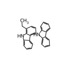 CCc1cccc2c1[nH]c1ccccc12.c1ccc2c(c1)[nH]c1ccccc12